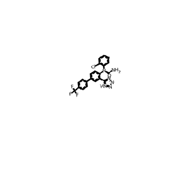 NC(=O)N(c1ccccc1Cl)c1ccc(-c2ccc(C(F)(F)F)cc2)cc1-c1nnn[nH]1